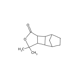 CC1(C)OC(=O)C2C3C4CCC(C4)C3C21